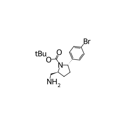 CC(C)(C)OC(=O)N1[C@H](CN)CC[C@H]1c1ccc(Br)cc1